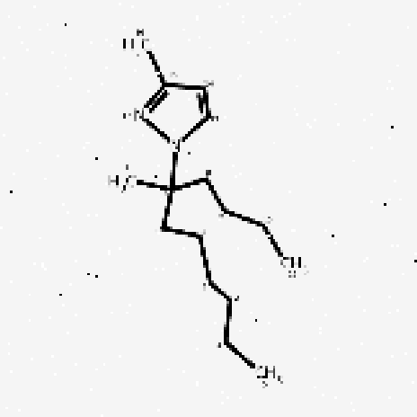 CCCCCCC(C)(CCCC)n1ccc(C)n1